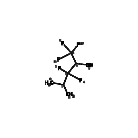 CC(C)C(F)(F)C(O)C(F)(F)F